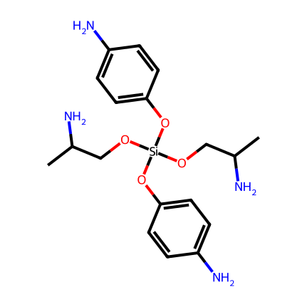 CC(N)CO[Si](OCC(C)N)(Oc1ccc(N)cc1)Oc1ccc(N)cc1